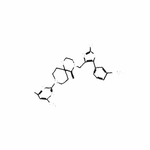 COc1cccc(-c2oc(C)nc2CN2CCNC3(CCN(c4nc(C)cc(C#N)n4)CC3)C2=O)c1